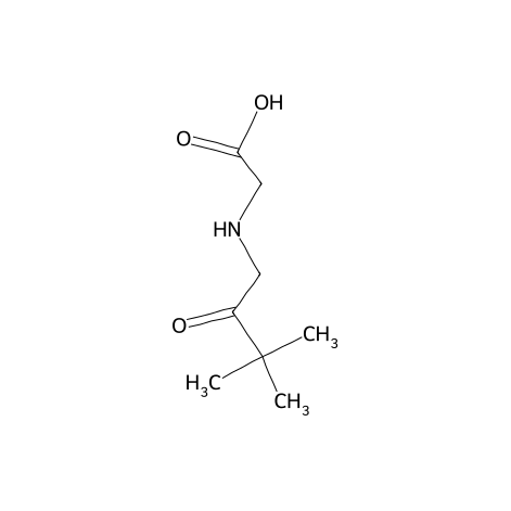 CC(C)(C)C(=O)CNCC(=O)O